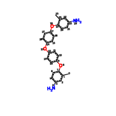 Cc1cc(N)ccc1Oc1ccc(Oc2ccc(Oc3ccc(N)cc3C)cc2)cc1